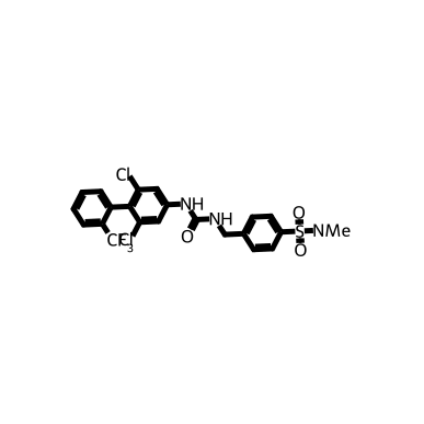 CNS(=O)(=O)c1ccc(CNC(=O)Nc2cc(Cl)c(-c3ccccc3C(F)(F)F)c(Cl)c2)cc1